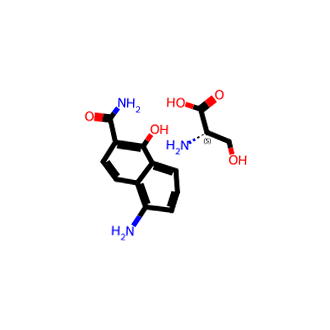 NC(=O)c1ccc2c(N)cccc2c1O.N[C@@H](CO)C(=O)O